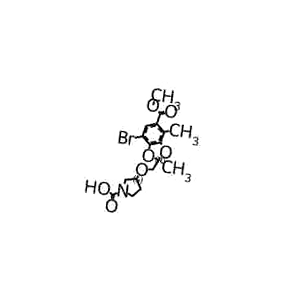 COC(=O)c1cc(Br)c2c(c1C)O[C@@](C)(CO[C@H]1CCN(C(=O)O)C1)O2